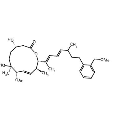 COCc1ccccc1CCC(C)/C=C/C=C(\C)[C@H]1OC(=O)C[C@@H](O)CC[C@](C)(O)[C@@H](OC(C)=O)/C=C/[C@@H]1C